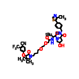 Cc1ncsc1-c1ccc(CNC(=O)C2CC(O)CN2C(=O)C(NC(=O)COCCOCCCCN2CC(C)(C)C(Oc3ccc(C#N)c(C(F)(F)F)c3)C2=O)C(C)(C)C)cc1